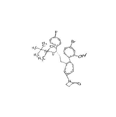 CC(C)(C)[Si](C)(C)O[C@@H](CCc1cc(N2CCC2=O)ccc1-c1ccc(Br)cc1O)c1ccc(F)cc1